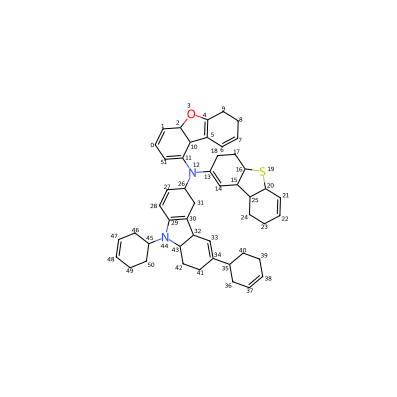 C1=CC2OC3=C(C=CCC3)C2C(N(C2=CC3C(CC2)SC2C=CCCC23)C2C=CC3=C(C2)C2C=C(C4CC=CCC4)CCC2N3C2CC=CCC2)=C1